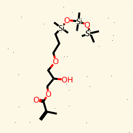 C=C(C)C(=O)OCC(O)COCCC[Si](C)(C)O[Si](C)(C)O[Si](C)(C)C